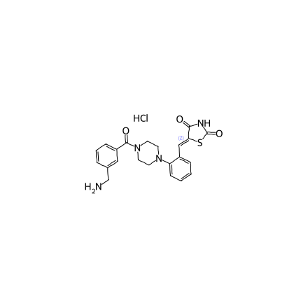 Cl.NCc1cccc(C(=O)N2CCN(c3ccccc3/C=C3\SC(=O)NC3=O)CC2)c1